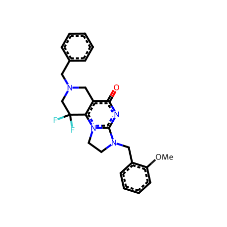 COc1ccccc1CN1CCn2c1nc(=O)c1c2C(F)(F)CN(Cc2ccccc2)C1